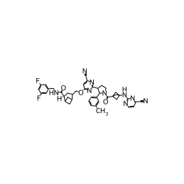 Cc1cccc(C2C(c3nc(C#N)cc(OCC4C[C@H](C(=O)NCc5cc(F)cc(F)c5)C5CC4C5)n3)CCN2C(=O)C23CC(Nc4nccc(C#N)n4)(C2)C3)c1